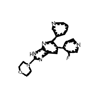 Fc1cnccc1-c1cc2nc(N3CCOCC3)[nH]c2nc1-c1cccnc1